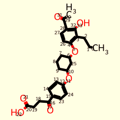 CCCc1c(OC2CCCC(Oc3ccc(C(=O)CCC(=O)O)cc3)C2)ccc(C(C)=O)c1O